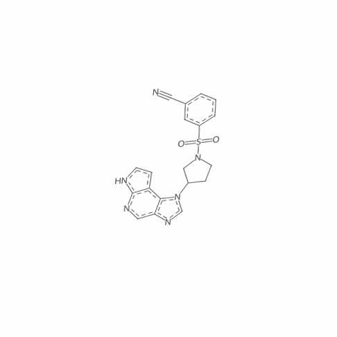 N#Cc1cccc(S(=O)(=O)N2CCC(n3cnc4cnc5[nH]ccc5c43)C2)c1